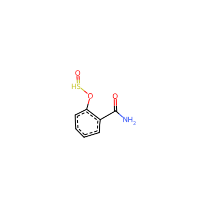 NC(=O)c1ccccc1O[SH]=O